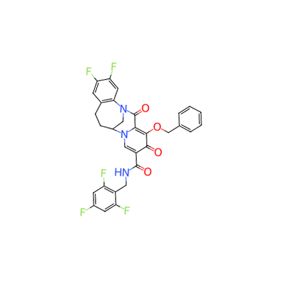 O=C(NCc1c(F)cc(F)cc1F)c1cn2c(c(OCc3ccccc3)c1=O)C(=O)N1CC2CCc2cc(F)c(F)cc21